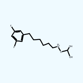 OC(O)O[SiH2]CCCCCCc1cc(F)cc(F)c1